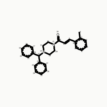 Cc1ccccc1/C=C/C(=O)N1CCN(C(c2ccccc2)c2ccccc2)CC1